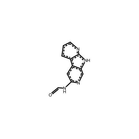 O=CNc1cc2c(cn1)[nH]c1ncccc12